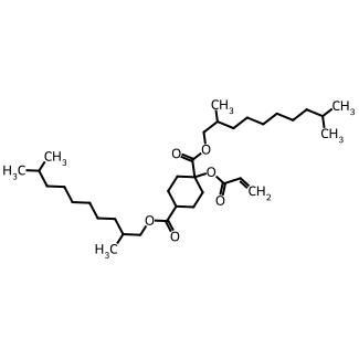 C=CC(=O)OC1(C(=O)OCC(C)CCCCCCC(C)C)CCC(C(=O)OCC(C)CCCCCCC(C)C)CC1